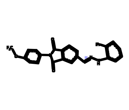 CC(C)c1ccccc1N/N=C/c1ccc2c(c1)C(=O)N(c1ccc(OC(F)(F)F)cc1)C2=O